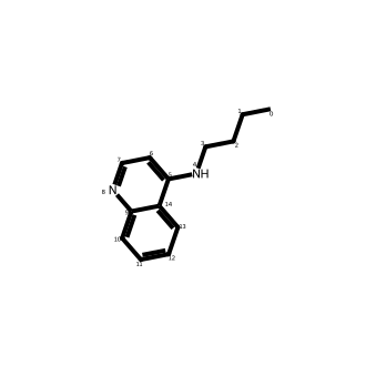 CCCCNc1ccnc2ccccc12